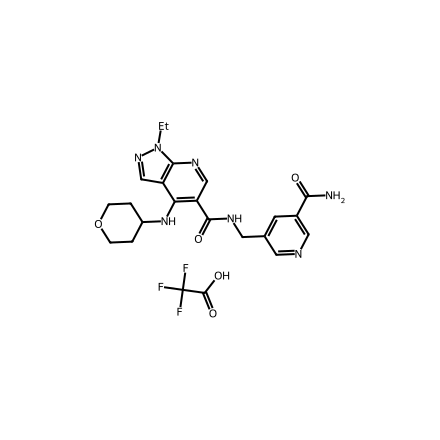 CCn1ncc2c(NC3CCOCC3)c(C(=O)NCc3cncc(C(N)=O)c3)cnc21.O=C(O)C(F)(F)F